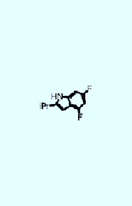 CC(C)c1cc2c(F)cc(F)cc2[nH]1